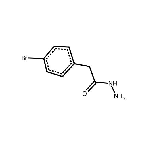 NNC(=O)Cc1ccc(Br)cc1